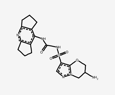 NC1COc2c(S(=O)(=O)NC(=O)Nc3c4c(nc5c3CCC5)CCC4)cnn2C1